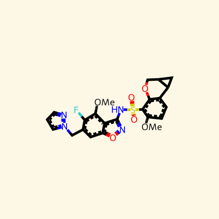 COc1ccc2c(c1S(=O)(=O)Nc1noc3cc(Cn4cccn4)c(F)c(OC)c13)OCC1CC21